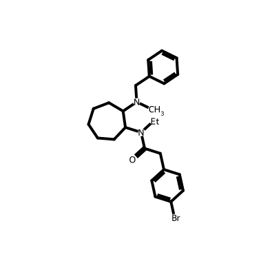 CCN(C(=O)Cc1ccc(Br)cc1)C1CCCCCC1N(C)Cc1ccccc1